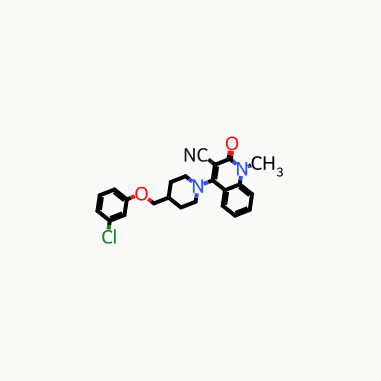 Cn1c(=O)c(C#N)c(N2CCC(COc3cccc(Cl)c3)CC2)c2ccccc21